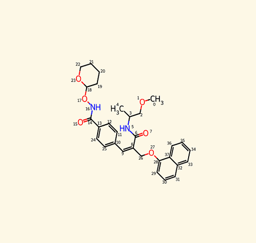 COCC(C)NC(=O)C(=Cc1ccc(C(=O)NOC2CCCCO2)cc1)COc1cccc2ccccc12